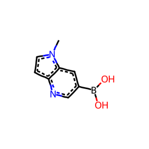 Cn1ccc2ncc(B(O)O)cc21